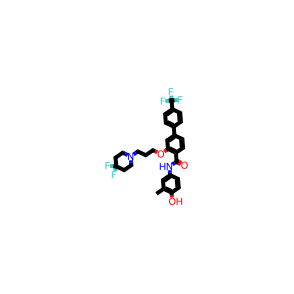 Cc1cc(NC(=O)c2ccc(-c3ccc(C(F)(F)F)cc3)cc2OCCCN2CCC(F)(F)CC2)ccc1O